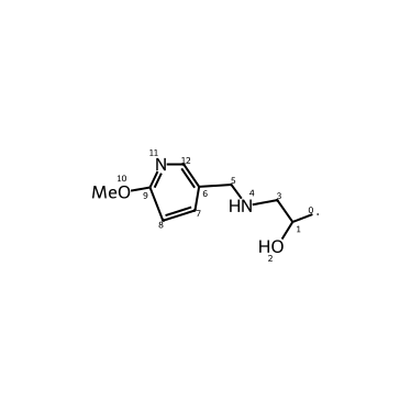 [CH2]C(O)CNCc1ccc(OC)nc1